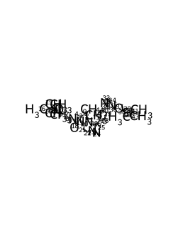 CC(C)C1CN(CCCO[Si](C)(C)C(C)(C)C)C(=O)N1c1ccn2ncc(-c3ccc(-c4nccn4COCC[Si](C)(C)C)cc3)c2n1